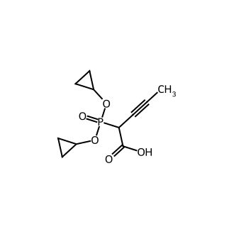 CC#CC(C(=O)O)P(=O)(OC1CC1)OC1CC1